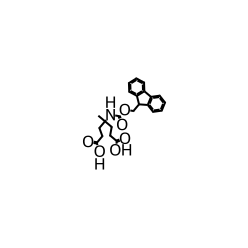 CC(CCC(=O)O)(CCC(=O)O)NC(=O)OCC1c2ccccc2-c2ccccc21